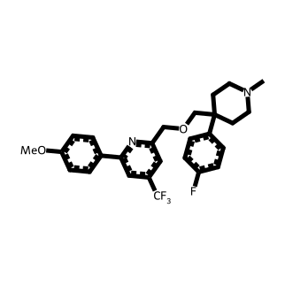 COc1ccc(-c2cc(C(F)(F)F)cc(COCC3(c4ccc(F)cc4)CCN(C)CC3)n2)cc1